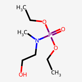 CCOP(=O)(OCC)N(C)CCO